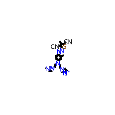 [C-]#[N+]c1c(/N=N/c2ccc(N(CCn3cc[n+](C)c3)CCn3cc[n+](C)c3)cc2C)sc(C#N)c1C